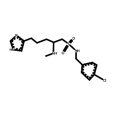 CNC(CCCc1c[nH]cn1)CS(=O)(=O)NCc1ccc(Cl)cc1